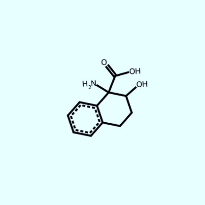 NC1(C(=O)O)c2ccccc2CCC1O